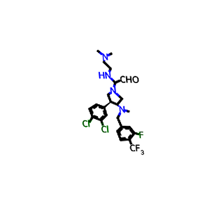 CN(C)CCNC(C=O)N1C[C@H](c2ccc(Cl)c(Cl)c2)[C@H](N(C)Cc2ccc(C(F)(F)F)c(F)c2)C1